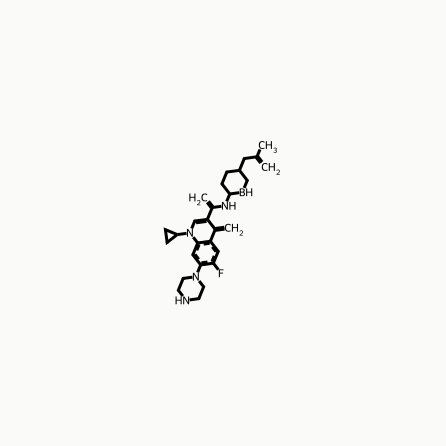 C=C(C)CC1CBC(NC(=C)C2=CN(C3CC3)c3cc(N4CCNCC4)c(F)cc3C2=C)CC1